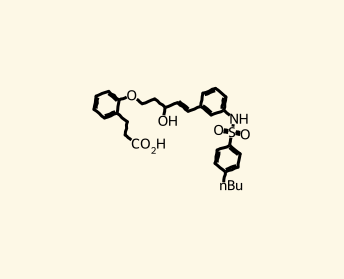 CCCCc1ccc(S(=O)(=O)Nc2cccc(/C=C/C(O)CCOc3ccccc3CCC(=O)O)c2)cc1